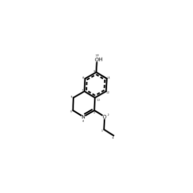 CCOC1=NCCc2cc(O)ccc21